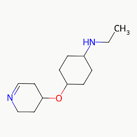 CCNC1CCC(OC2CC=NCC2)CC1